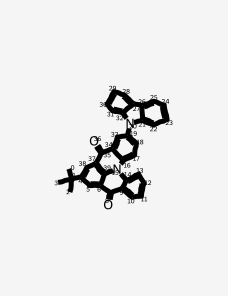 CC(C)(C)c1cc2c(=O)c3ccccc3n3c4ccc(-n5c6ccccc6c6ccccc65)cc4c(=O)c(c1)c23